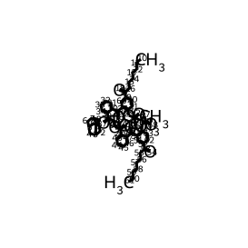 C1C2CC3CC1CC(C2)C3.CCCCCCCC(=O)c1ccc(OC(C)=O)c(C(=O)c2ccccc2C(=O)OOC(=O)c2ccccc2C(=O)c2cc(C(=O)CCCCCCC)ccc2OC(C)=O)c1